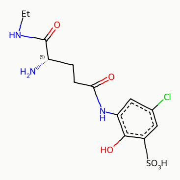 CCNC(=O)[C@@H](N)CCC(=O)Nc1cc(Cl)cc(S(=O)(=O)O)c1O